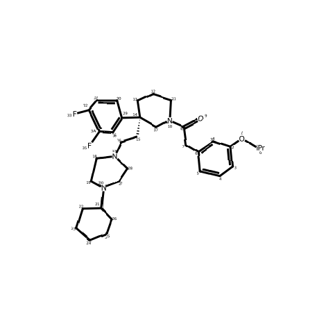 CC(C)Oc1cccc(CC(=O)N2CCC[C@](CCN3CCN(C4CCCCC4)CC3)(c3ccc(F)c(F)c3)C2)c1